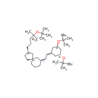 CC(C)(CCC[C@@H]1CC[C@@]2(CCC/C(=C/C=C3C[C@@H](O[Si](C)(C)C(C)(C)C)C[C@H](O[Si](C)(C)C(C)(C)C)C3)C2)C1)O[Si](C)(C)C